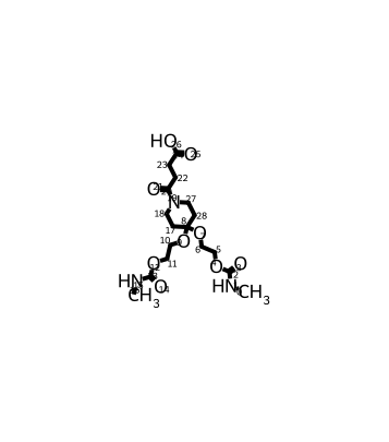 CNC(=O)OCCOC1(OCCOC(=O)NC)CCN(C(=O)CCC(=O)O)CC1